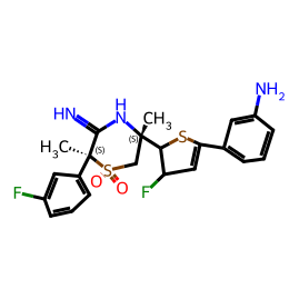 C[C@@]1(C2SC(c3cccc(N)c3)=CC2F)CS(=O)(=O)[C@@](C)(c2cccc(F)c2)C(=N)N1